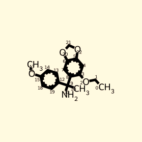 CCOc1cc2c(cc1C(C)(N)c1ccc(OC)cc1)OCO2